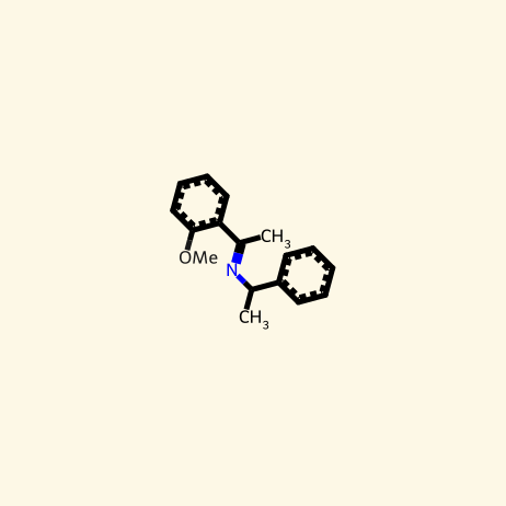 COc1ccccc1C(C)=NC(C)c1ccccc1